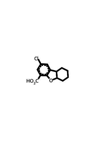 O=C(O)c1cc(Cl)cc2c1OC1CCCCC21